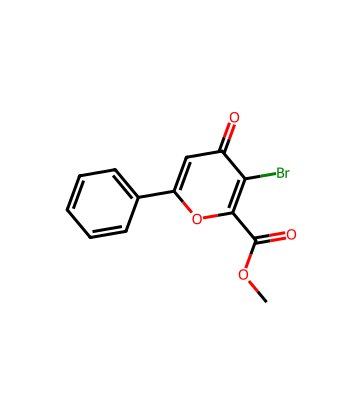 COC(=O)c1oc(-c2ccccc2)cc(=O)c1Br